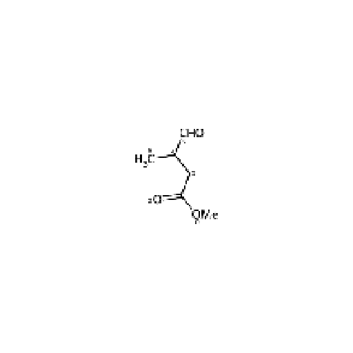 COC(=O)[CH]C(C)C=O